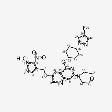 Cn1ncc(COc2cnc3cc(N4CCOCC4)nc(O[C@H]4CC[C@@H](n5cc(F)cn5)CC4)c3c2)c1[N+](=O)[O-]